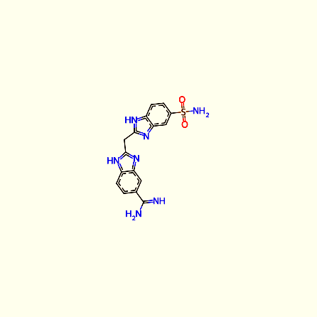 N=C(N)c1ccc2[nH]c(Cc3nc4cc(S(N)(=O)=O)ccc4[nH]3)nc2c1